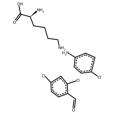 NCCCC[C@H](N)C(=O)O.Nc1ccc(Cl)cc1.O=Cc1ccc(Cl)cc1Cl